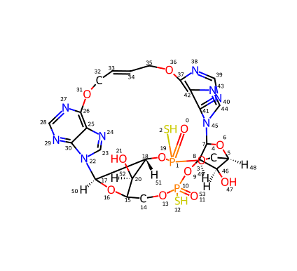 O=P1(S)OC[C@H]2OC3[C@H](OP(=O)(S)OCC4O[C@H]([C@H](O1)[C@@H]4O)n1cnc4c(ncnc41)OC/C=C/COc1ncnc4c1ncn43)[C@@H]2O